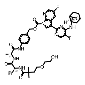 CC(C)[C@H](NC(=O)C(C)(C)CCOCCO)C(=O)N[C@@H](C)C(=O)Nc1ccc(COC(=O)n2cc(-c3ncc(F)c(N[C@@H]4CC5CCC4CC5)n3)c3cc(F)cnc32)cc1